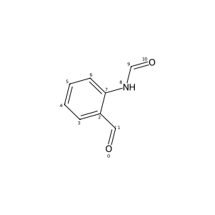 O=[C]c1ccccc1NC=O